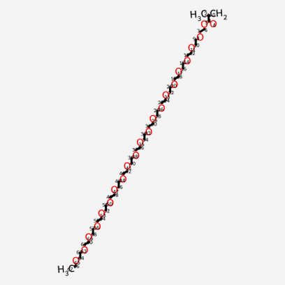 C=C(C)C(=O)OCCOCCOCCOCCOCCOCCOCCOCCOCCOCCOCCOCCOCCOCCOCCOCCOCCOCCOCCOCCOCC